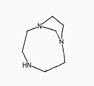 C1CN2CCN(CCN1)C2